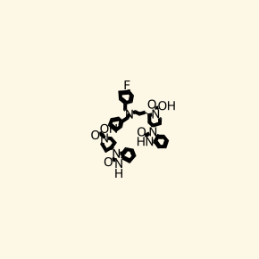 O=C(O)N1CCC(n2c(=O)[nH]c3ccccc32)CC1.O=C(O)N1CCC(n2c(=O)[nH]c3ccccc32)C[C@@H]1CCCN(Cc1ccccc1)Cc1ccc(F)cc1